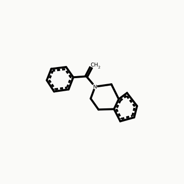 C=C(c1ccccc1)N1CCc2ccccc2C1